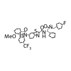 COc1cccc(C(=O)Nc2ccc3nc(C(=O)N[C@H](C(=O)N(C)Cc4ccc(F)cc4)c4ccccc4)sc3c2)c1-c1ccc(C(F)(F)F)cc1